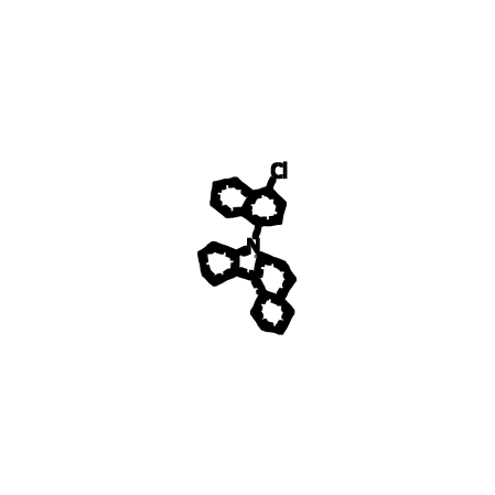 Clc1ccc(-n2c3ccccc3c3c4ccccc4ccc32)c2ccccc12